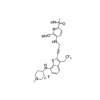 COc1nc(S(C)(=N)=O)ccc1NCC#Cc1sc2c(NC3CCN(C)C[C@H]3F)cccc2c1CC(F)(F)F